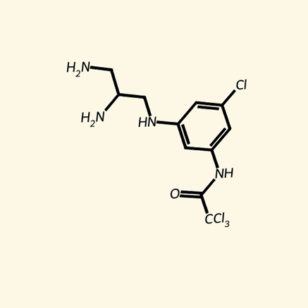 NCC(N)CNc1cc(Cl)cc(NC(=O)C(Cl)(Cl)Cl)c1